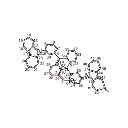 CC(C)/C=C\C1=CC2(c3cccc(-n4c5ccccc5c5ccccc54)c3)c3ccccc3C1(c1cccc(-n3c4ccccc4c4ccccc43)c1)c1ccccc12